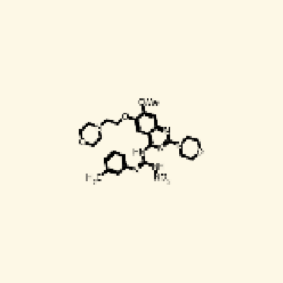 COc1cc2nc(N3CCOCC3)nc(N/C(=N\c3cccc(C)c3)N[N+](=O)[O-])c2cc1OCCN1CCOCC1